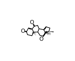 C[C@@]12CC=C3C4CC(=O)C5=CC(=O)CC[C@]5(C)C4CC[C@]31C(=O)CC2